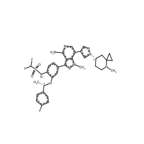 C[C@H](Oc1cc(-c2nn(C)c3c(-c4cnn([C@H]5CCN(C)C6(CC6)C5)c4)cnc(N)c23)ccc1NS(=O)(=O)C(F)F)c1ccc(F)cc1